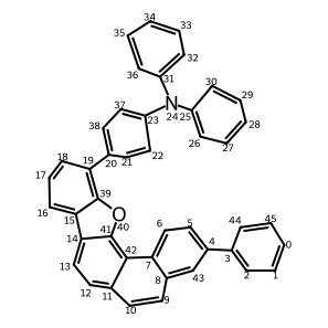 c1ccc(-c2ccc3c(ccc4ccc5c6cccc(-c7ccc(N(c8ccccc8)c8ccccc8)cc7)c6oc5c43)c2)cc1